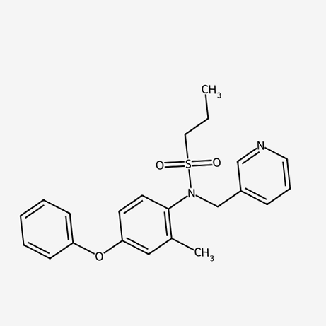 CCCS(=O)(=O)N(Cc1cccnc1)c1ccc(Oc2ccccc2)cc1C